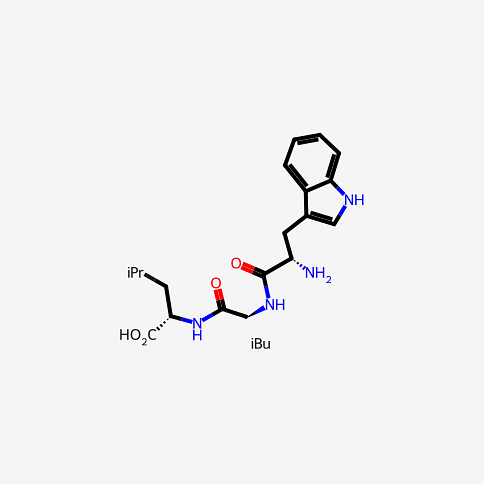 CC[C@H](C)[C@H](NC(=O)[C@@H](N)Cc1c[nH]c2ccccc12)C(=O)N[C@@H](CC(C)C)C(=O)O